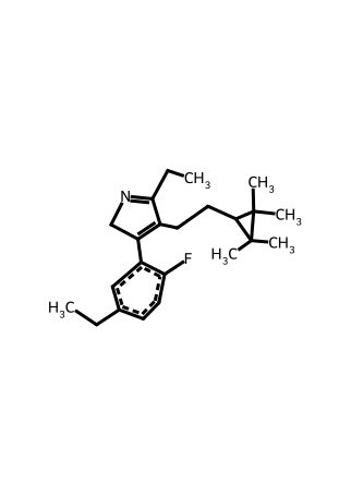 CCC1=NCC(c2cc(CC)ccc2F)=C1CCC1C(C)(C)C1(C)C